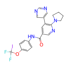 O=C(Nc1ccc(OC(F)(F)I)cc1)c1cnc(N2CCCC2)c(-c2cncnc2)c1